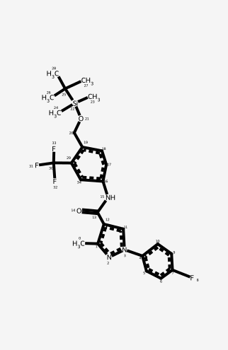 Cc1nn(-c2ccc(F)cc2)cc1C(=O)Nc1ccc(CO[Si](C)(C)C(C)(C)C)c(C(F)(F)F)c1